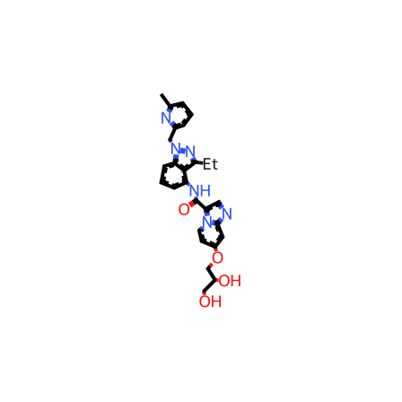 CCc1nn(Cc2cccc(C)n2)c2cccc(NC(=O)c3cnc4cc(OCC(O)CO)ccn34)c12